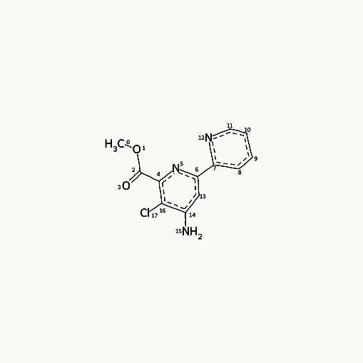 COC(=O)c1nc(-c2ccccn2)cc(N)c1Cl